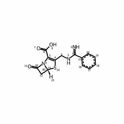 N=C(NCC1=C(C(=O)O)N2C(=O)C[C@H]2S1)c1ccccc1